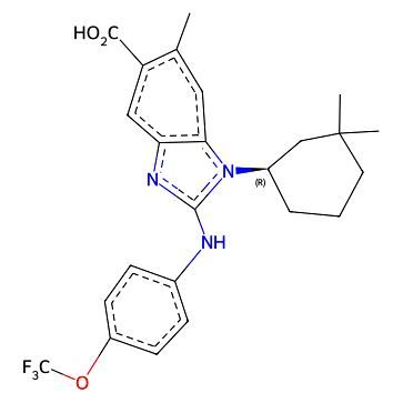 Cc1cc2c(cc1C(=O)O)nc(Nc1ccc(OC(F)(F)F)cc1)n2[C@@H]1CCCC(C)(C)C1